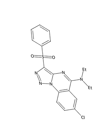 CCN(CC)c1nc2c(S(=O)(=O)c3ccccc3)nnn2c2ccc(Cl)cc12